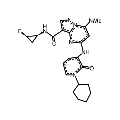 CNc1cc(Nc2cccn(C3CCCCC3)c2=O)nc2c(C(=O)N[C@H]3C[C@H]3F)cnn12